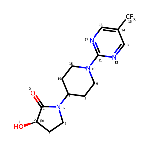 O=C1[C@H](O)CCN1C1CCN(c2ncc(C(F)(F)F)cn2)CC1